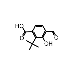 CC(C)(C)c1c(C(=O)O)ccc(C=O)c1O